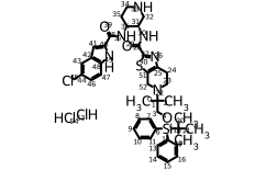 CC(C)(CO[Si](c1ccccc1)(c1ccccc1)C(C)(C)C)N1CCc2nc(C(=O)N[C@@H]3CNCC[C@@H]3NC(=O)c3cc4cc(Cl)ccc4[nH]3)sc2C1.Cl.Cl